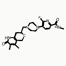 CNC(=O)c1ccc(N2CCN(CC3Cc4[nH]c(=O)c(C)c(C)c4CO3)CC2)c(F)n1